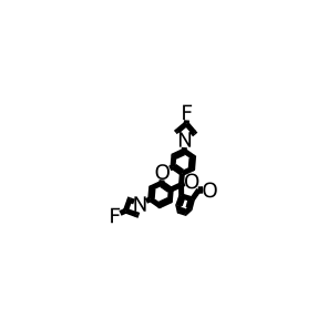 O=C1OC2(c3ccc(N4CC(F)C4)cc3Oc3cc(N4CC(F)C4)ccc32)c2ccccc21